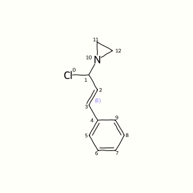 ClC(/C=C/c1ccccc1)N1CC1